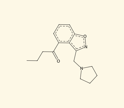 CCCC(=O)c1cccc2onc(CN3CCCC3)c12